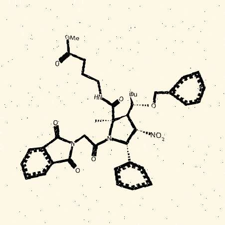 CC[C@H](C)[C@H](OCc1ccccc1)[C@H]1[C@H]([N+](=O)[O-])[C@H](c2ccccc2)N(C(=O)CN2C(=O)c3ccccc3C2=O)[C@@]1(C)C(=O)NCCCC(=O)OC